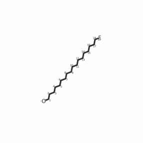 [O]CCCCCCCCCCCCCCCCCCF